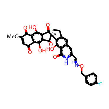 COC1=CC(=O)c2c(O)c3c(c(O)c2C1=O)C(=O)[C@]1(CCc2cc4cc(/C=N/OCc5ccc(F)cc5)[nH]c(=O)c4c(O)c21)C3=O